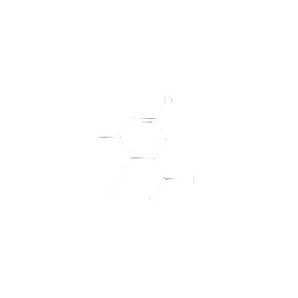 C#Cc1c(C)cc(Br)cc1C(=O)O